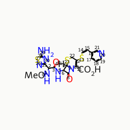 CONC(C(=O)NC1C(=O)N2C(C(=O)O)=C(S/C=C\c3cccnc3)CS[C@@H]12)c1nsc(N)n1